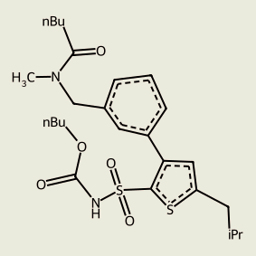 CCCCOC(=O)NS(=O)(=O)c1sc(CC(C)C)cc1-c1cccc(CN(C)C(=O)CCCC)c1